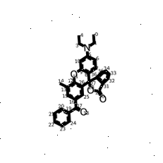 CCN(CC)c1ccc2c(c1)Oc1c(C)cc(C(=O)c3ccccc3)cc1C21OC(=O)c2ccccc21